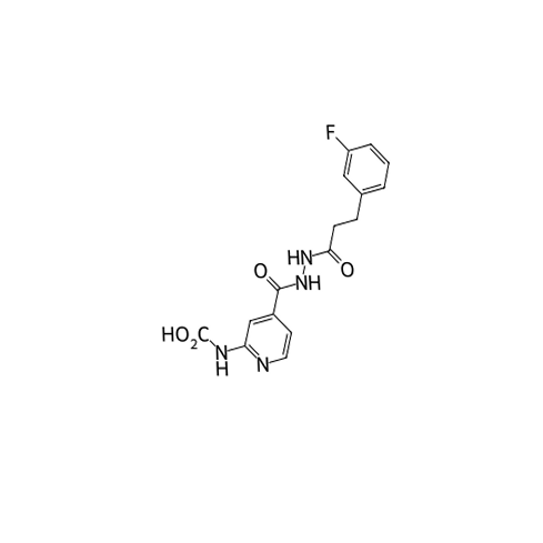 O=C(O)Nc1cc(C(=O)NNC(=O)CCc2cccc(F)c2)ccn1